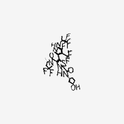 CC(Nc1cc(C(F)F)c(-c2sc(C(=O)N[C@H]3CC[C@H](O)C3)nc2C(=O)N2CC(F)(F)C[C@@H]2C)cn1)C(F)(F)F